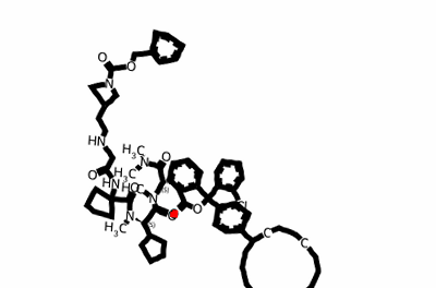 CN(C)C(=O)[C@H](CC(=O)OC(c1ccccc1)(c1ccc(C2CCCCCCCCCCCCCC2)cc1)c1ccccc1Cl)N(C)C(=O)[C@H](C1CCCC1)N(C)C(=O)C1(NC(=O)CNCCC2CN(C(=O)OCc3ccccc3)C2)CCCC1